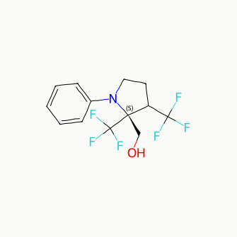 OC[C@]1(C(F)(F)F)C(C(F)(F)F)CCN1c1ccccc1